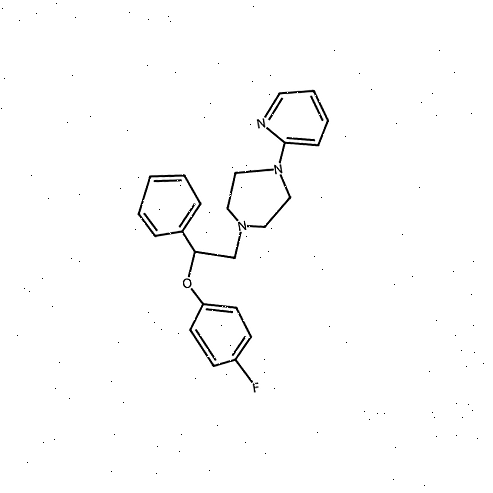 Fc1ccc(OC(CN2CCN(c3ccccn3)CC2)c2ccccc2)cc1